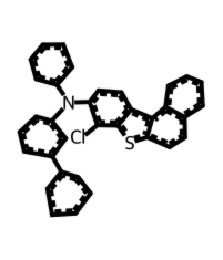 Clc1c(N(c2ccccc2)c2cccc(-c3ccccc3)c2)ccc2c1sc1ccc3ccccc3c12